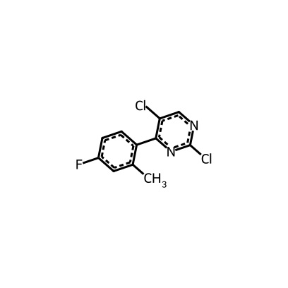 Cc1cc(F)ccc1-c1nc(Cl)ncc1Cl